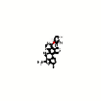 N#Cc1c(N)sc2c(F)ccc(-c3c4c(c5c(N6C[C@@H]7NC[C@H]6[C@H]7F)ncnc5c3F)COC4)c12